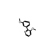 COc1cccc(-c2ncccc2OC)c1